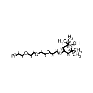 CC(C)CCOCCOCCOCCOC1CC(C)(C)N(O)C(C)(C)C1